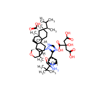 CC(C)[C@@H](C)[C@@]1(C)CC[C@]2(C)[C@H]3CC[C@@H]4[C@@]5(COC[C@@]4(C)[C@@H](OC[C@](C)(N)C(C)(C)C)[C@H](n4ncnc4-c4ccncc4)C5)C3=CC[C@@]2(C)[C@@H]1C(=O)O.O=C(O)CC(O)(CC(=O)O)C(=O)O